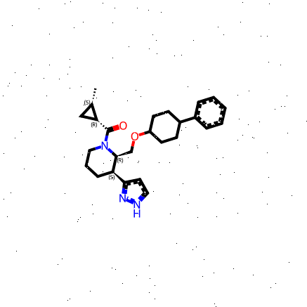 C[C@H]1C[C@H]1C(=O)N1CCC[C@H](c2cc[nH]n2)[C@@H]1COC1CCC(c2ccccc2)CC1